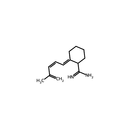 C=C(C)/C=C\C=C1/CCCCC1C(=N)N